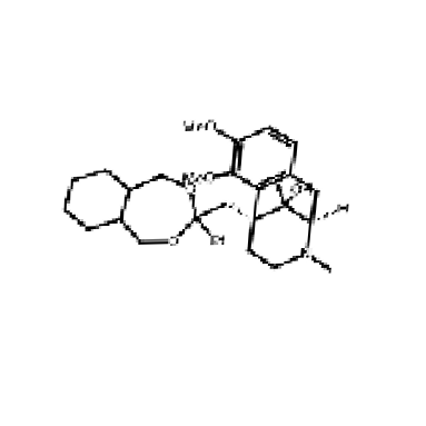 CCC1(C[C@]23CCN(C)[C@H](Cc4ccc(OC)c(OC)c42)C3(C)O)OCC2CCCCC2CO1